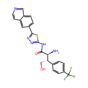 N[C@H](C(=O)Nc1nnc(-c2ccc3cnccc3c2)s1)[C@@H](CO)c1ccc(C(F)(F)F)cc1